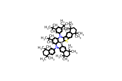 CC(C)(C)c1cc(N2c3cc(C(C)(C)C)cc4c3B(c3cc5c(cc3N4c3ccc4c(c3)C(C)(C)CCC4(C)C)C(C)(C)CCC5(C)C)c3sc4cc5c(cc4c32)C(C)(C)CCC5(C)C)cc(C(C)(C)C)c1